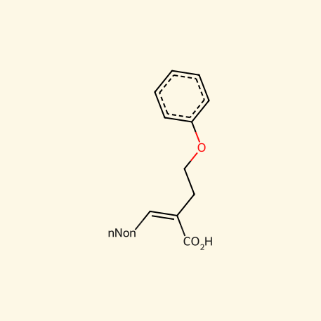 CCCCCCCCCC=C(CCOc1ccccc1)C(=O)O